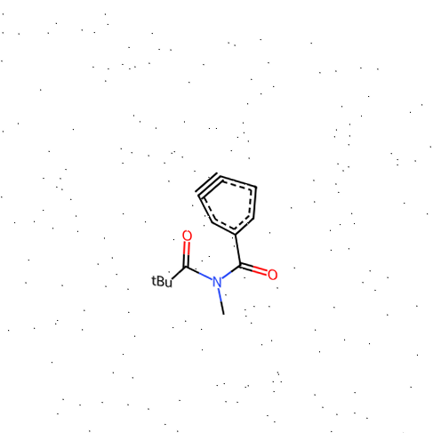 CN(C(=O)c1cc#ccc1)C(=O)C(C)(C)C